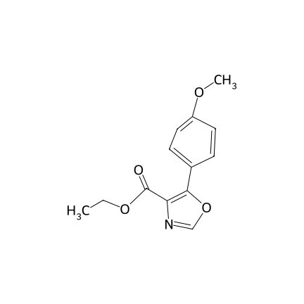 CCOC(=O)c1ncoc1-c1ccc(OC)cc1